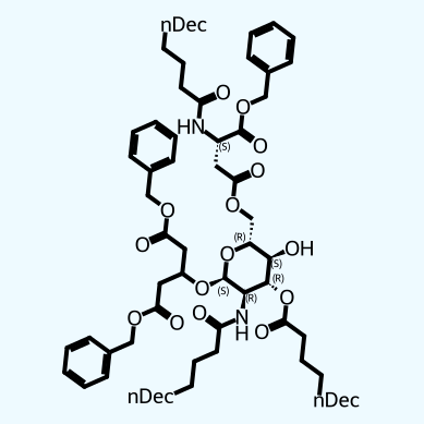 CCCCCCCCCCCCCC(=O)N[C@H]1[C@@H](OC(CC(=O)OCc2ccccc2)CC(=O)OCc2ccccc2)O[C@H](COC(=O)C[C@H](NC(=O)CCCCCCCCCCCCC)C(=O)OCc2ccccc2)[C@@H](O)[C@@H]1OC(=O)CCCCCCCCCCCCC